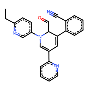 CCc1ccc(N2C=C(c3ccccn3)C=C(c3ccccc3C#N)C2C=O)cn1